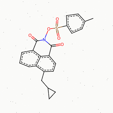 Cc1ccc(S(=O)(=O)ON2C(=O)c3cccc4c(CC5CC5)ccc(c34)C2=O)cc1